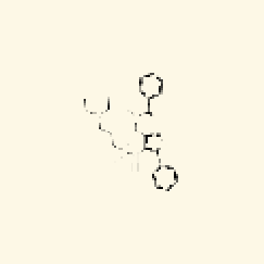 CCN(CC)CCCS(=O)(=O)Nc1c(-c2ccccc2)noc1CN(C)C(=O)c1ccccc1